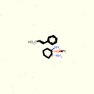 N[C@@H]1CCCC[C@H]1N.O=C(O)C=Cc1ccccc1.[OH][Pt]